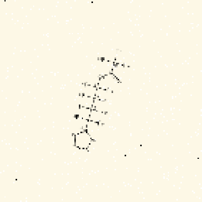 C=C(OC(F)(F)C(F)(F)C(F)(F)C(F)(F)N1CCCC1)C(F)(F)F